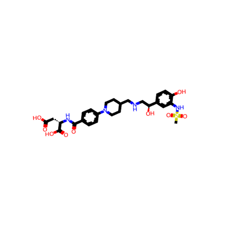 CS(=O)(=O)Nc1cc([C@@H](O)CNCC2CCN(c3ccc(C(=O)N[C@@H](CC(=O)O)C(=O)O)cc3)CC2)ccc1O